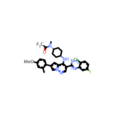 COc1ccc(-c2cc3c(N[C@H]4CC[C@H](N(C)C(=O)C(F)(F)F)CC4)c(/C(N)=N/c4cc(F)ccc4Cl)cnn3c2)c(C)c1